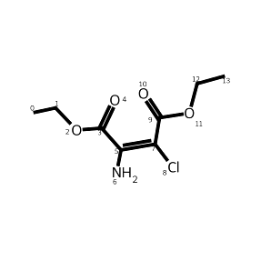 CCOC(=O)/C(N)=C(/Cl)C(=O)OCC